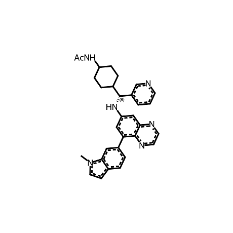 CC(=O)NC1CCC([C@@H](Nc2cc(-c3ccc4ccn(C)c4c3)c3nccnc3c2)c2cccnc2)CC1